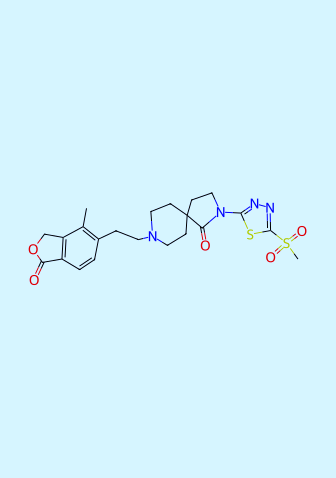 Cc1c(CCN2CCC3(CC2)CCN(c2nnc(S(C)(=O)=O)s2)C3=O)ccc2c1COC2=O